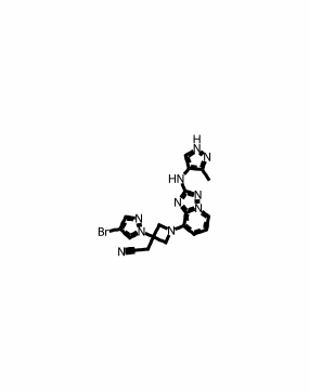 Cc1n[nH]cc1Nc1nc2c(N3CC(CC#N)(n4cc(Br)cn4)C3)cccn2n1